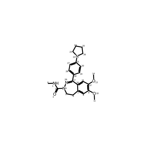 CNC(=O)N1CCc2cc(OC)c(OC)cc2C(c2ccc(N3CCCC3)cc2)=N1